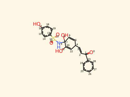 O=C(/C=C/C1C=CC(O)(NS(=O)(=O)c2ccc(O)cc2)C(O)=C1)c1ccccc1